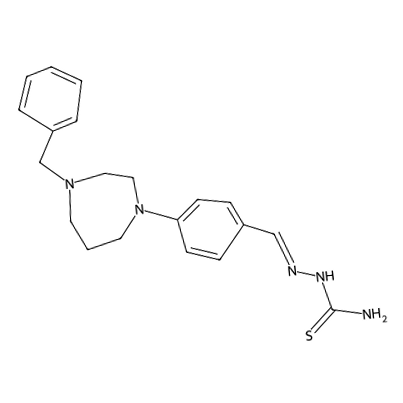 NC(=S)N/N=C/c1ccc(N2CCCN(Cc3ccccc3)CC2)cc1